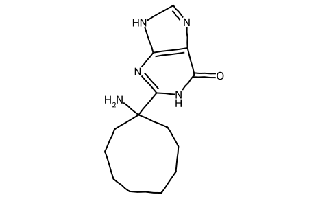 NC1(c2nc3[nH]cnc3c(=O)[nH]2)CCCCCCCC1